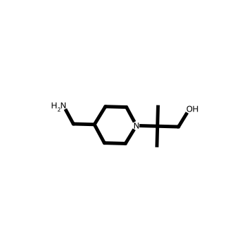 CC(C)(CO)N1CCC(CN)CC1